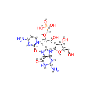 Nc1ccn(C[C@@H](CO)OCP(=O)(O)O)c(=O)n1.Nc1nc2c(ncn2C2C[C@H](O)[C@@H](CO)O2)c(=O)[nH]1